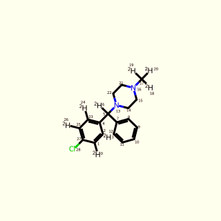 [2H]c1c([2H])c(C([2H])(c2ccccc2)N2CCN(C([2H])([2H])[2H])CC2)c([2H])c([2H])c1Cl